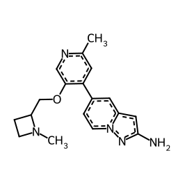 Cc1cc(-c2ccn3nc(N)cc3c2)c(OCC2CCN2C)cn1